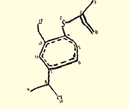 C=C(C)Sc1ccc(C(C)Cl)cc1C